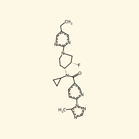 CCc1cnc(N2CC[C@@H](N(C(=O)c3ccc(-n4ncnc4C)nc3)C3CC3)[C@@H](F)C2)nc1